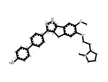 COc1cc2c(cc1OCCC1CCCN1C)Cc1c(-c3ccc(-c4ccc(O)cc4)cc3)n[nH]c1-2